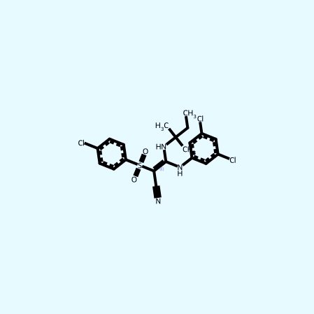 CCC(C)(C)N/C(Nc1cc(Cl)cc(Cl)c1)=C(/C#N)S(=O)(=O)c1ccc(Cl)cc1